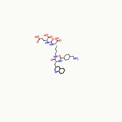 NCC1CCC(C(=O)N[C@@H](Cc2cnc3ccccc3c2)C(=O)NCCCC[C@H](NC(=O)N[C@@H](CCC(=O)O)C(=O)O)C(=O)O)CC1